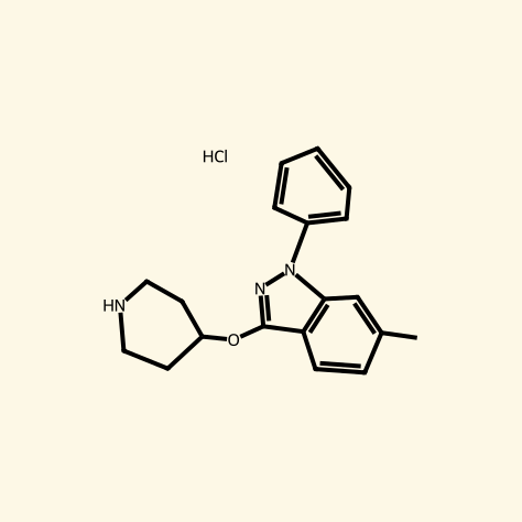 Cc1ccc2c(OC3CCNCC3)nn(-c3ccccc3)c2c1.Cl